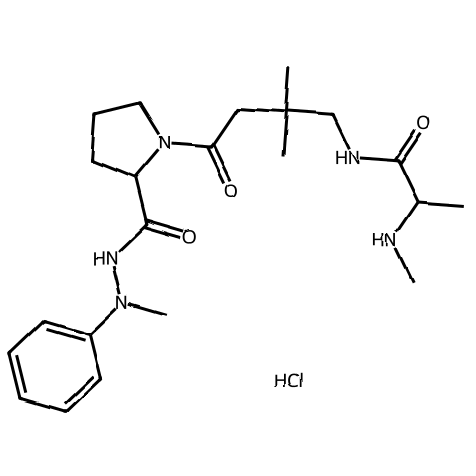 CNC(C)C(=O)NCC(C)(C)CC(=O)N1CCCC1C(=O)NN(C)c1ccccc1.Cl